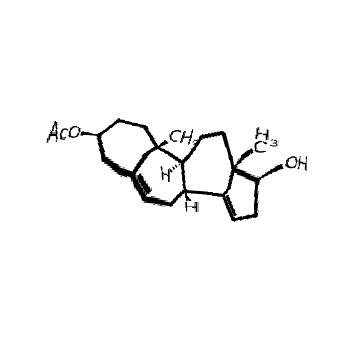 CC(=O)O[C@H]1CC[C@@]2(C)C(=CC[C@H]3C4=CC[C@H](O)[C@@]4(C)CC[C@@H]32)C1